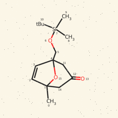 CC12C=CC(CO[Si](C)(C)C(C)(C)C)(CC(=O)C1)O2